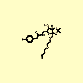 CCCCOCCOC[C@@]12O[C@@H](CNC(=O)Cc3ccc(F)cc3)[C@@H](O)[C@@H]1OC(C)(C)O2